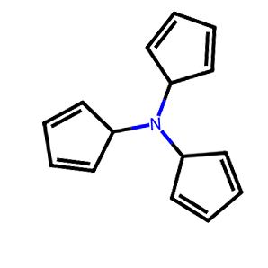 C1=CC(N(C2C=CC=C2)C2C=CC=C2)C=C1